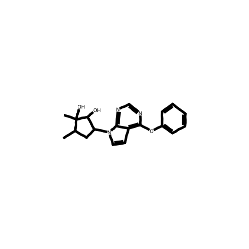 CC1CC(n2ccc3c(Oc4ccccc4)ncnc32)C(O)C1(C)O